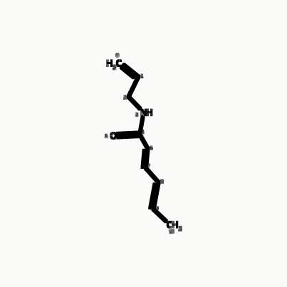 C=CCNC(=O)C=CC=CC